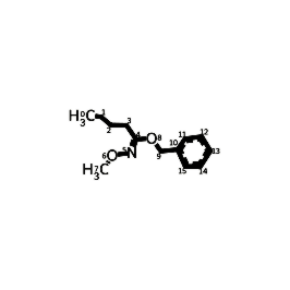 CCCCC(=NOC)OCc1ccccc1